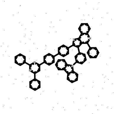 c1ccc(-c2cc(-c3ccc(-c4ccc(-c5sc6c(c(-c7ccccc7)nc7ccccc76)c5-c5cccc(-n6c7ccccc7c7ccccc76)c5)cc4)cc3)nc(-c3ccccc3)n2)cc1